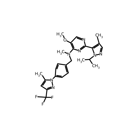 COc1cnc(-c2c(C)cnn2C(C)C)nc1N(C)Cc1ccc(-n2nc(C(F)(F)F)cc2C)cc1